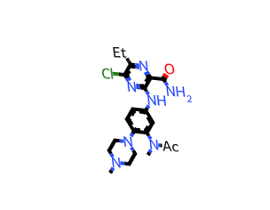 CCc1nc(C(N)=O)c(Nc2ccc(N3CCN(C)CC3)c(N(C)C(C)=O)c2)nc1Cl